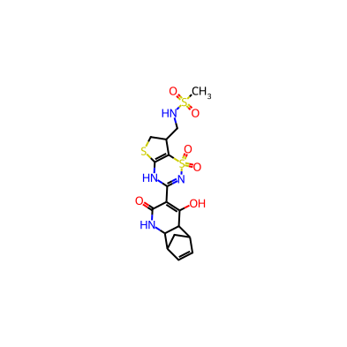 CS(=O)(=O)NCC1CSC2=C1S(=O)(=O)N=C(C1=C(O)C3C4C=CC(C4)C3NC1=O)N2